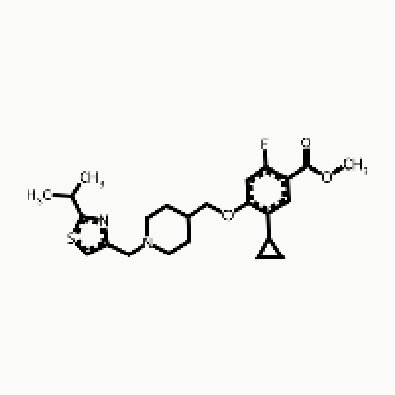 COC(=O)c1cc(C2CC2)c(OCC2CCN(Cc3csc(C(C)C)n3)CC2)cc1F